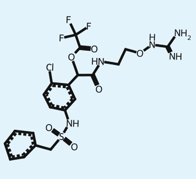 N=C(N)NOCCNC(=O)C(OC(=O)C(F)(F)F)c1cc(NS(=O)(=O)Cc2ccccc2)ccc1Cl